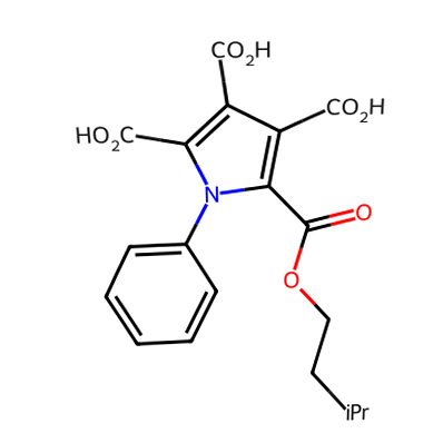 CC(C)CCOC(=O)c1c(C(=O)O)c(C(=O)O)c(C(=O)O)n1-c1ccccc1